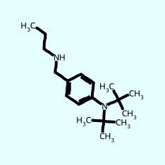 CCCNCc1ccc(N(C(C)(C)C)C(C)(C)C)cc1